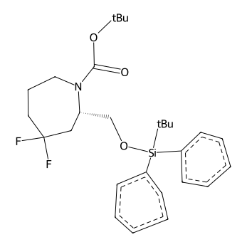 CC(C)(C)OC(=O)N1CCCC(F)(F)C[C@H]1CO[Si](c1ccccc1)(c1ccccc1)C(C)(C)C